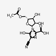 CC(=O)OC[C@H]1O[C@@H](n2c(C(=O)O)nc(C#N)c2O)[C@H](O)[C@@H]1O